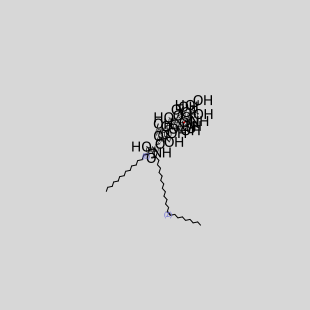 CCCCCCCC/C=C\CCCCCCCCCCCCCC(=O)N[C@@H](CO[C@@H]1O[C@H](CO)[C@@H](O[C@@H]2O[C@H](CO)[C@H](O)[C@H](O[C@]3(C(=O)O)C[C@H](O)[C@@H](NC(C)=O)[C@H]([C@H](O)[C@H](O)CO)O3)[C@H]2O)[C@H](O)[C@H]1O)[C@H](O)/C=C/CCCCCCCCCCCCC